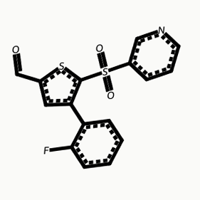 O=Cc1cc(-c2ccccc2F)c(S(=O)(=O)c2cccnc2)s1